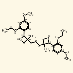 CCOc1cc(OC)ccc1C1OCC1(C)CCCC1(C)COC1c1ccc(OC)cc1OCC